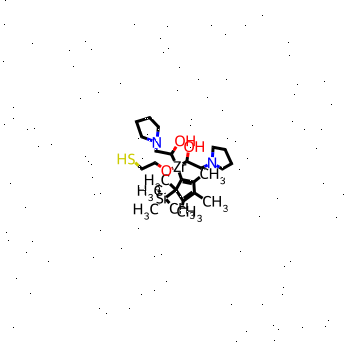 CC1=C(C)C(C)([Si](C)(C)C)[C]([Zr]([O]CCS)([CH](O)CN2CCCC2)[CH](O)CN2CCCC2)=C1C